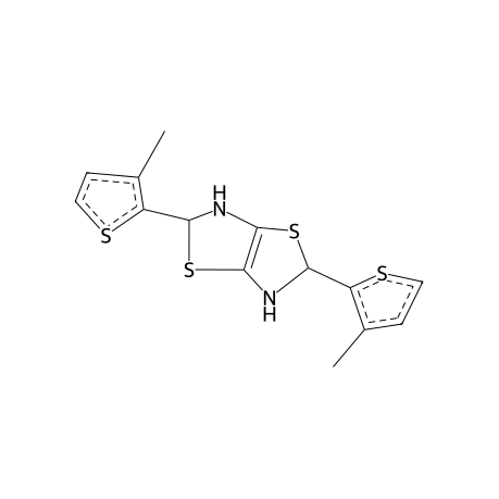 Cc1ccsc1C1NC2=C(NC(c3sccc3C)S2)S1